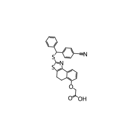 N#Cc1ccc(C(Sc2nc3c(s2)CCc2c(OCC(=O)O)cccc2-3)c2ccccc2)cc1